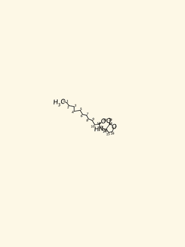 CCCCCCCCCCCC(=O)N[C@@H]1CCOC1=O